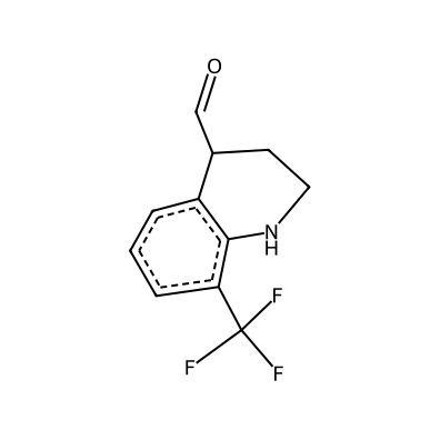 O=CC1CCNc2c1cccc2C(F)(F)F